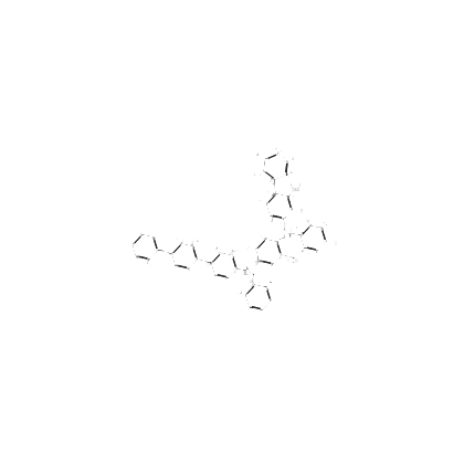 c1ccc(-c2ccc(-c3ccc(N(c4ccccc4)c4ccc5c(c4)Sc4ccccc4N5c4ccc5c(c4)oc4ccccc45)cc3)cc2)cc1